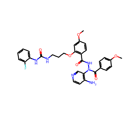 COc1ccc(C(=O)N(NC(=O)c2ccc(OC)cc2OCCCNC(=O)Nc2ccccc2F)c2cnccc2N)cc1